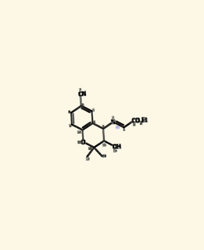 CCOC(=O)/C=N/C1c2cc(C#N)ccc2OC(C)(C)C1O